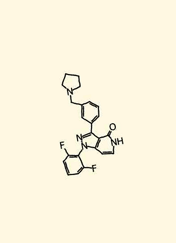 O=c1[nH]ccc2c1c(-c1cccc(CN3CCCC3)c1)nn2-c1c(F)cccc1F